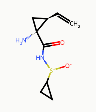 C=C[C@@H]1C[C@]1(N)C(=O)N[S+]([O-])C1CC1